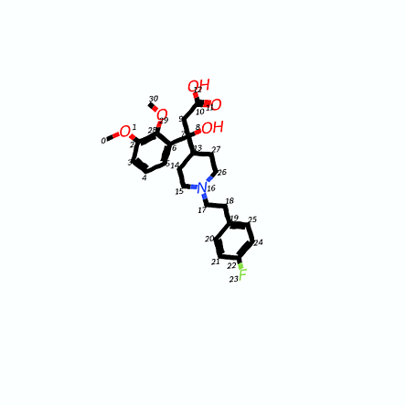 COc1cccc(C(O)(CC(=O)O)C2CCN(CCc3ccc(F)cc3)CC2)c1OC